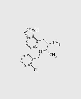 CC(Cc1nccc2cc[nH]c12)C(C)OCc1ccccc1Cl